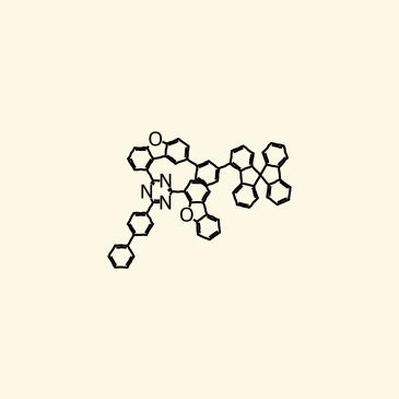 c1ccc(-c2ccc(-c3nc(-c4cccc5c4oc4ccccc45)nc(-c4cccc5oc6ccc(-c7cccc(-c8cccc9c8-c8ccccc8C98c9ccccc9-c9ccccc98)c7)cc6c45)n3)cc2)cc1